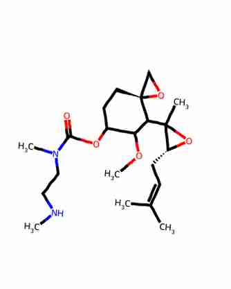 CNCCN(C)C(=O)OC1CC[C@]2(CO2)C(C2(C)O[C@@H]2CC=C(C)C)C1OC